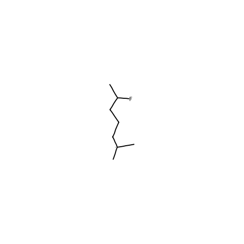 C[C](C)CCCC(C)F